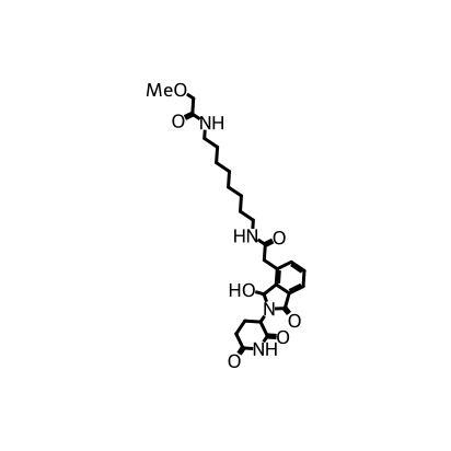 COCC(=O)NCCCCCCCCNC(=O)Cc1cccc2c1C(O)N(C1CCC(=O)NC1=O)C2=O